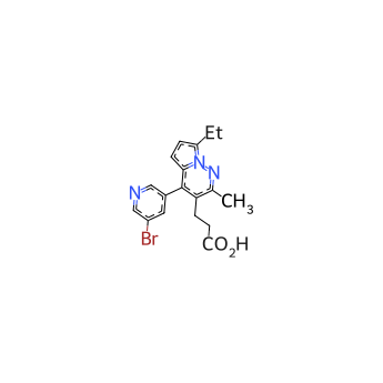 CCc1ccc2c(-c3cncc(Br)c3)c(CCC(=O)O)c(C)nn12